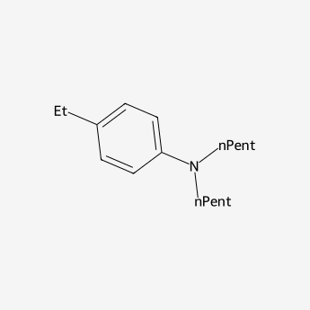 CCCCCN(CCCCC)c1ccc(CC)cc1